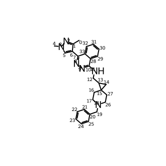 Cc1nn(C)cc1-c1nnc(NCC2CC23CCN(Cc2ccccc2)CC3)c2ccccc12